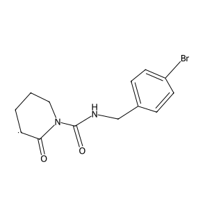 O=C1[CH]CCCN1C(=O)NCc1ccc(Br)cc1